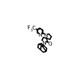 O=C1N(C23CC4CC(CC(C4)C2)C3)CCC12CCCN2c1ccc(C(F)(F)F)cn1